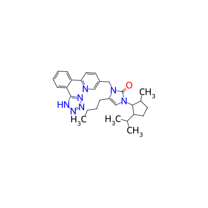 CCCCc1cn(C2C(C)CCC2C(C)C)c(=O)n1Cc1ccc(-c2ccccc2-c2nnn[nH]2)nc1